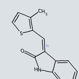 Cc1ccsc1/C=C1\C(=O)Nc2ccccc21